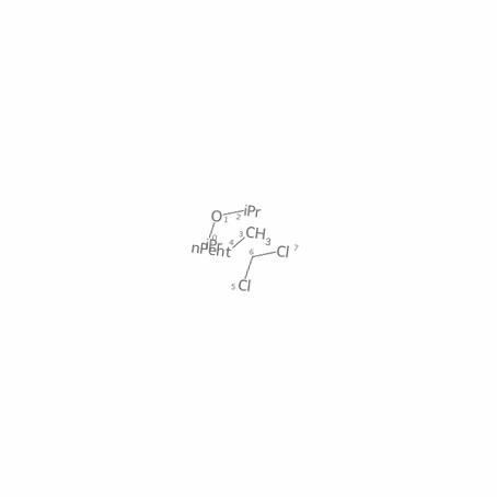 CC(C)OC(C)C.CCCCCC.ClCCl